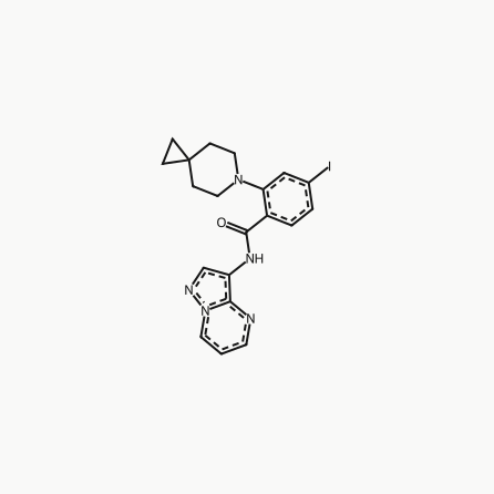 O=C(Nc1cnn2cccnc12)c1ccc(I)cc1N1CCC2(CC1)CC2